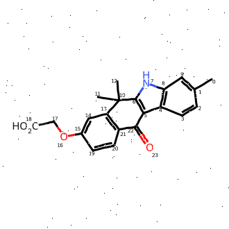 Cc1ccc2c3c([nH]c2c1)C(C)(C)c1cc(OCC(=O)O)ccc1C3=O